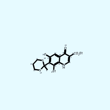 CCOC(=O)c1c[nH]c2c(CC)c(C3(C)SCCCS3)c(F)cc2c1=O